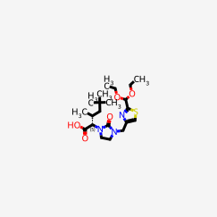 CCOC(OCC)c1nc(CN2CCN([C@H](C(=O)O)C(C)CC(C)(C)C)C2=O)cs1